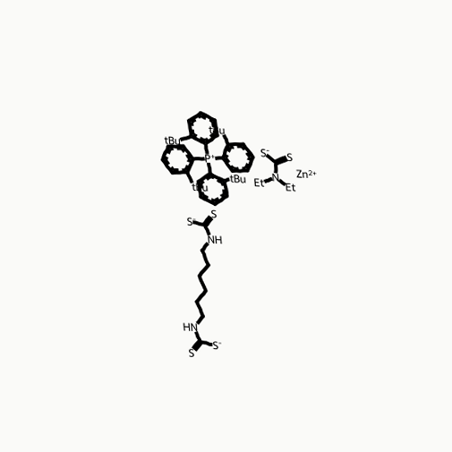 CC(C)(C)c1ccccc1[P+](c1ccccc1C(C)(C)C)(c1ccccc1C(C)(C)C)c1ccccc1C(C)(C)C.CCN(CC)C(=S)[S-].S=C([S-])NCCCCCCNC(=S)[S-].[Zn+2]